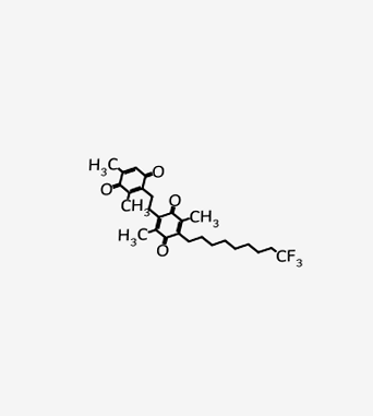 CC1=CC(=O)C(CCC2=C(C)C(=O)C(CCCCCCCCC(F)(F)F)=C(C)C2=O)=C(C)C1=O